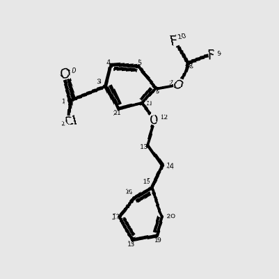 O=C(Cl)c1ccc(OC(F)F)c(OCCc2ccccc2)c1